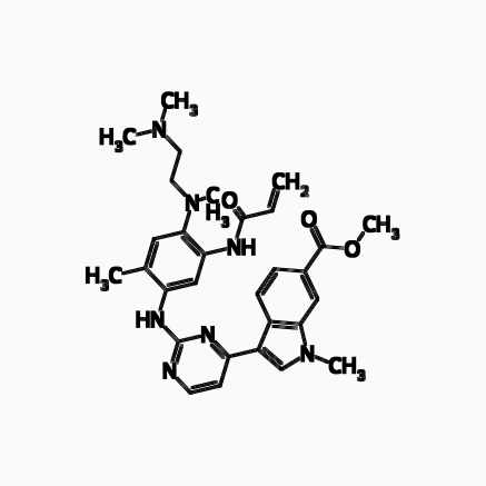 C=CC(=O)Nc1cc(Nc2nccc(-c3cn(C)c4cc(C(=O)OC)ccc34)n2)c(C)cc1N(C)CCN(C)C